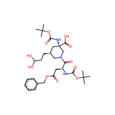 CC(C)(C)OC(=O)N[C@@H](CC(=O)OCc1ccccc1)C(=O)N1C[C@@H](CCB(O)O)C[C@](NC(=O)OC(C)(C)C)(C(=O)O)C1